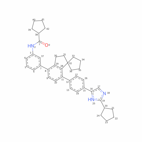 O=C(Nc1cccc(-c2ccc(-c3ccc(-c4cnc(C5CCCC5)[nH]4)cc3)c3c2CCC32CCCC2)c1)C1CCCC1